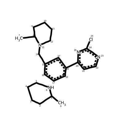 CC1CCCCN1.CC1CCCCN1Cc1cccc(-c2ccnc(Cl)n2)c1